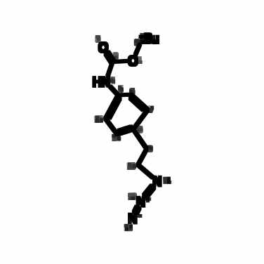 CC(C)(C)OC(=O)Nc1ccc(CCN=[N+]=[N-])cc1